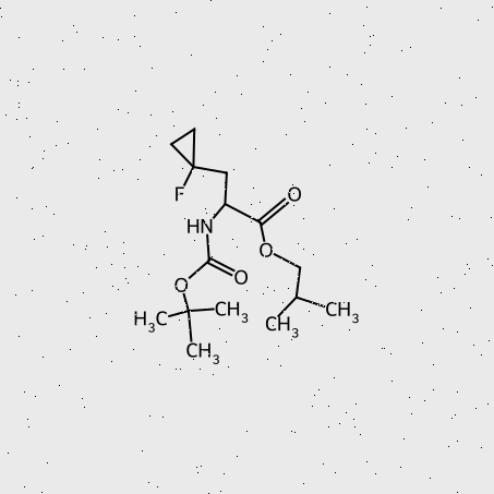 CC(C)COC(=O)C(CC1(F)CC1)NC(=O)OC(C)(C)C